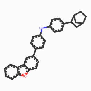 c1ccc2c(c1)oc1ccc(-c3ccc(Nc4ccc(C5CC6CCC5C6)cc4)cc3)cc12